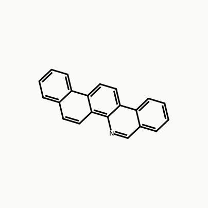 c1ccc2c(c1)ccc1c2ccc2c3ccccc3cnc21